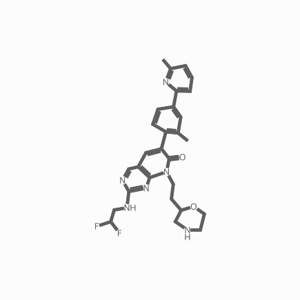 Cc1cccc(-c2ccc(-c3cc4cnc(NCC(F)F)nc4n(CCC4CNCCO4)c3=O)c(C)c2)n1